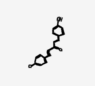 O=C(C=Cc1ccc(O)cc1)C=Cc1ccc(Cl)cc1